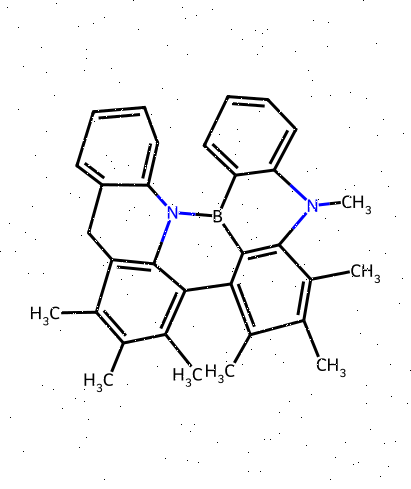 Cc1c(C)c2c3c(c1C)-c1c(C)c(C)c(C)c4c1B(c1ccccc1N4C)N3c1ccccc1C2